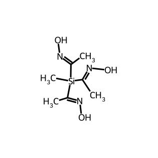 CC(=NO)[Si](C)(C(C)=NO)C(C)=NO